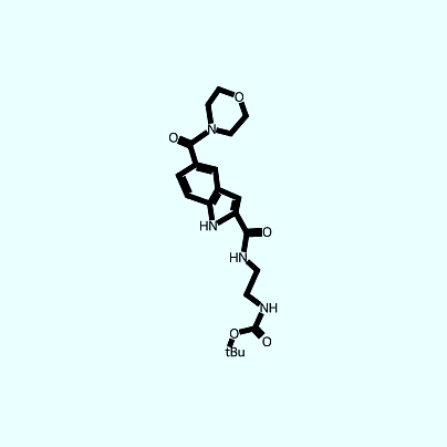 CC(C)(C)OC(=O)NCCNC(=O)c1cc2cc(C(=O)N3CCOCC3)ccc2[nH]1